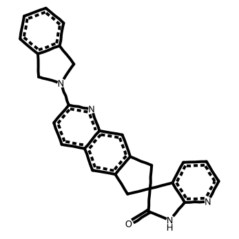 O=C1Nc2ncccc2C12Cc1cc3ccc(N4Cc5ccccc5C4)nc3cc1C2